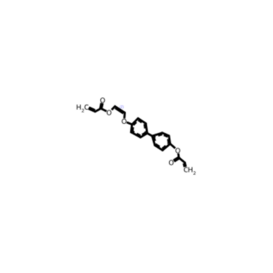 C=CC(=O)O/C=C\Oc1ccc(-c2ccc(OC(=O)C=C)cc2)cc1